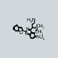 CN(C)C(CCN)c1nc(-c2cc3ccccc3o2)nc2ccc([N+](=O)[O-])cc12